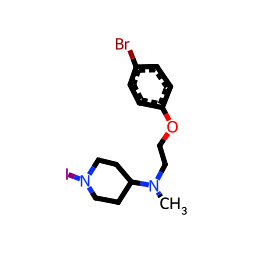 CN(CCOc1ccc(Br)cc1)C1CCN(I)CC1